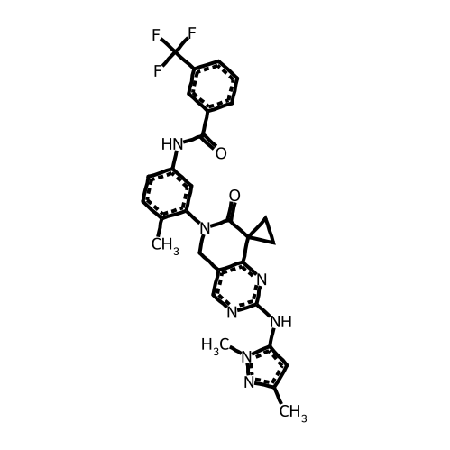 Cc1cc(Nc2ncc3c(n2)C2(CC2)C(=O)N(c2cc(NC(=O)c4cccc(C(F)(F)F)c4)ccc2C)C3)n(C)n1